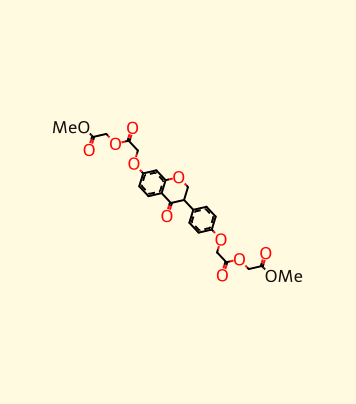 COC(=O)COC(=O)COc1ccc(C2COc3cc(OCC(=O)OCC(=O)OC)ccc3C2=O)cc1